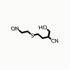 N#CC(CO)CCSCCN=O